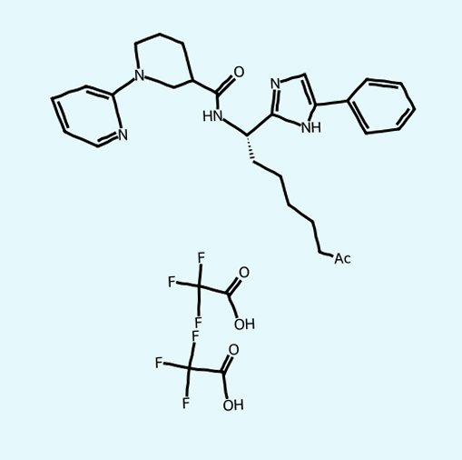 CC(=O)CCCCC[C@H](NC(=O)C1CCCN(c2ccccn2)C1)c1ncc(-c2ccccc2)[nH]1.O=C(O)C(F)(F)F.O=C(O)C(F)(F)F